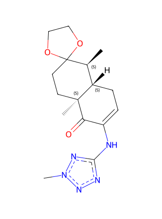 C[C@H]1[C@@H]2CC=C(Nc3nnn(C)n3)C(=O)[C@@]2(C)CCC12OCCO2